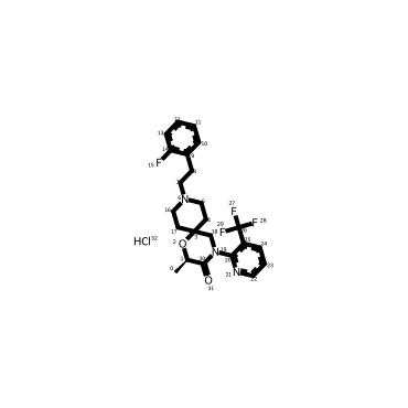 C[C@H]1OC2(CCN(CCc3ccccc3F)CC2)CN(c2ncccc2C(F)(F)F)C1=O.Cl